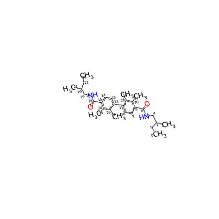 CCC(C)CNC(=O)c1ccc(-c2ccc(C(=O)NCC(C)CC)c(C)c2C)c(C)c1C